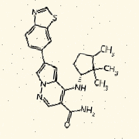 CC1CC[C@@H](Nc2c(C(N)=O)cnn3cc(-c4ccc5ncsc5c4)cc23)C1(C)C